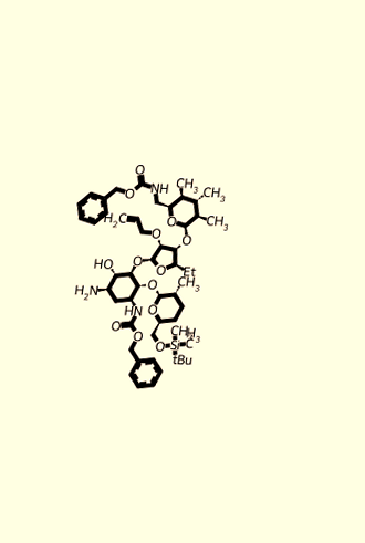 C=CCO[C@H]1[C@H](O[C@@H]2[C@@H](O)[C@H](N)C[C@H](NC(=O)OCc3ccccc3)[C@H]2O[C@H]2O[C@H](CO[Si](C)(C)C(C)(C)C)CC[C@H]2C)O[C@H](CC)[C@H]1O[C@H]1O[C@@H](CNC(=O)OCc2ccccc2)[C@@H](C)[C@H](C)[C@H]1C